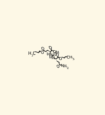 CCCCOC(=O)CC[C@H](NC(=O)N[C@@H](CCC(N)=O)C(=O)OCCCC)C(=O)O